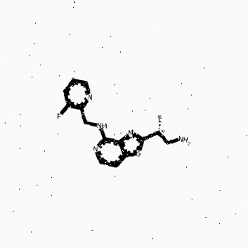 NC[C@@H](F)c1nc2c(NCc3ncccc3F)nccc2s1